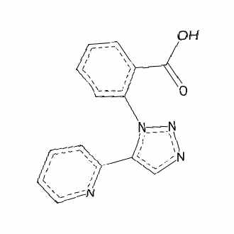 O=C(O)c1ccccc1-n1nncc1-c1ccccn1